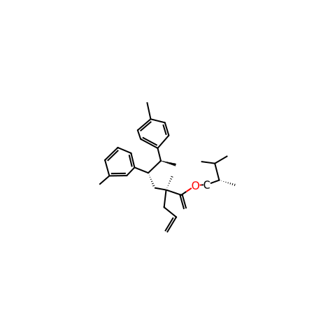 C=CC[C@@](C)(C[C@H](c1cccc(C)c1)[C@H](C)c1ccc(C)cc1)C(=C)OC[C@@H](C)C(C)C